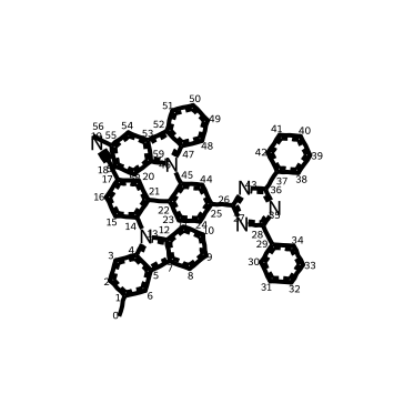 Cc1ccc2c(c1)c1ccccc1n2-c1ccc(C#N)cc1-c1ccc(-c2nc(-c3ccccc3)nc(-c3ccccc3)n2)cc1-n1c2ccccc2c2cc(C)ccc21